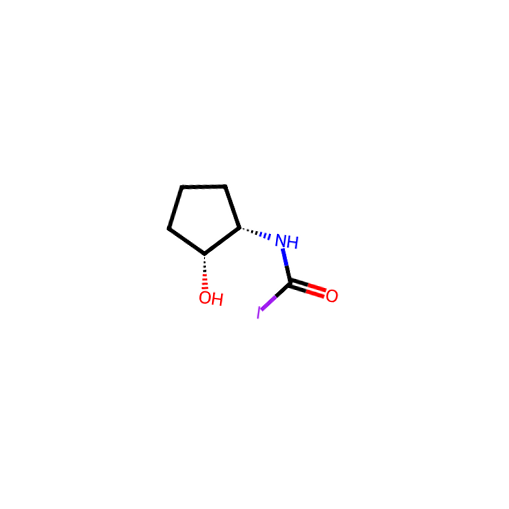 O=C(I)N[C@H]1CCC[C@H]1O